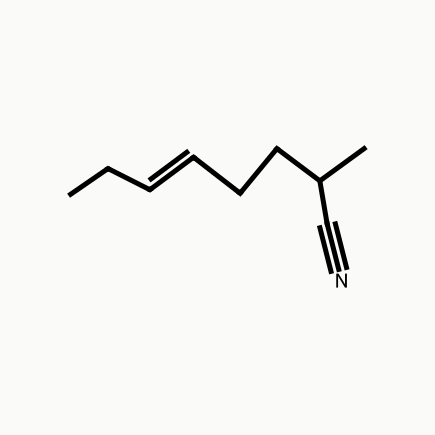 CCC=CCCC(C)C#N